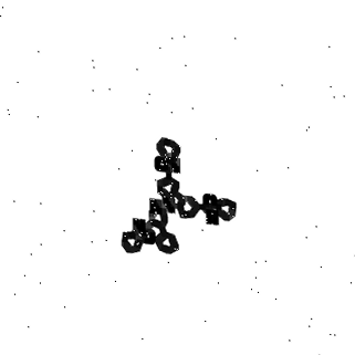 c1ccc(-c2cc(-n3c4ccc(-c5nc6ccccc6o5)cc4c4cc(-c5nc6ccccc6o5)ccc43)ncc2-c2nc3ccccc3o2)cc1